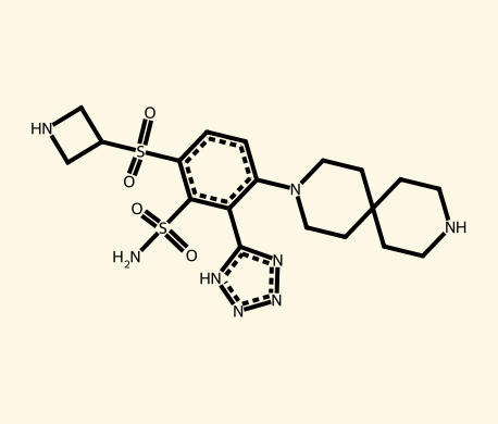 NS(=O)(=O)c1c(S(=O)(=O)C2CNC2)ccc(N2CCC3(CCNCC3)CC2)c1-c1nnn[nH]1